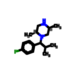 CC(C)C(c1ccc(F)cc1)N1C[C@H](C)NC[C@H]1C